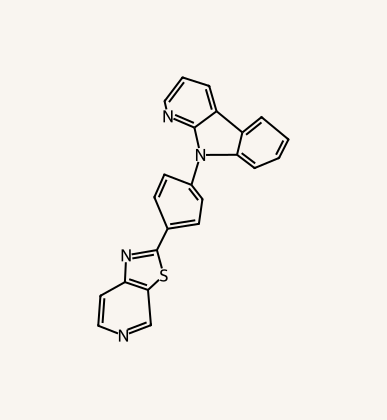 c1ccc2c(c1)c1cccnc1n2-c1ccc(-c2nc3ccncc3s2)cc1